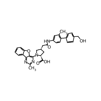 Cc1nc(N2C[C@@H](CC(=O)Nc3ccc(-c4ccc(CO)cc4)c(C)c3)C[C@H]2C(=O)O)c2oc3ccccc3c2n1